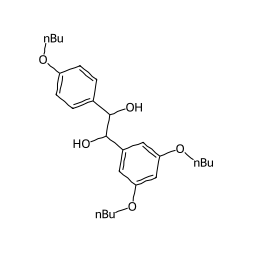 CCCCOc1ccc(C(O)C(O)c2cc(OCCCC)cc(OCCCC)c2)cc1